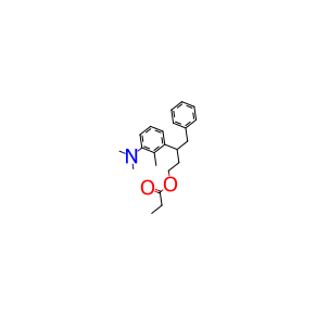 CCC(=O)OCCC(Cc1ccccc1)c1cccc(N(C)C)c1C